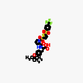 CC(C)(C)Oc1ccc(C[C@H](NC(=O)[C@@H]2CCCN2S(=O)(=O)c2ccc(S(=O)(=O)c3ccc(C(F)(F)F)cc3)s2)C(=O)O)cc1